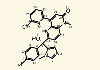 Cn1cncc1[C@@](O)(c1ccc(I)cc1)c1ccc2c(n1)c(-c1cccc(Cl)n1)cc(=O)n2C